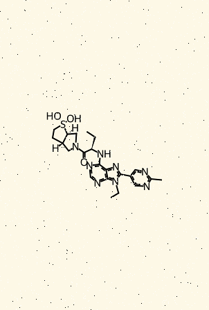 CC[C@@H](Nc1ncnc2c1nc(-c1cnc(C)nc1)n2CC)C(=O)N1C[C@@H]2CCS(O)(O)[C@H]2C1